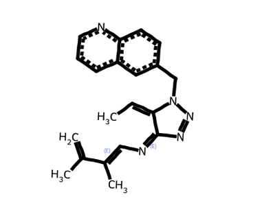 C=C(C)/C(C)=C/N=C1/N=NN(Cc2ccc3ncccc3c2)C1=CC